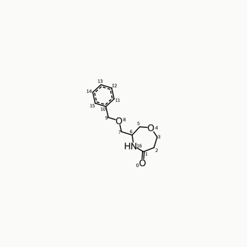 O=C1CCOCC(COCc2ccccc2)N1